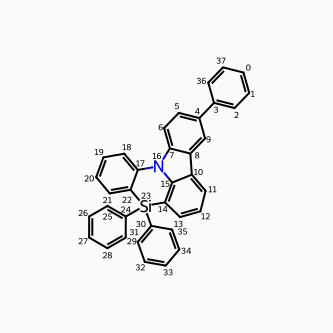 c1ccc(-c2ccc3c(c2)c2cccc4c2n3-c2ccccc2[Si]4(c2ccccc2)c2ccccc2)cc1